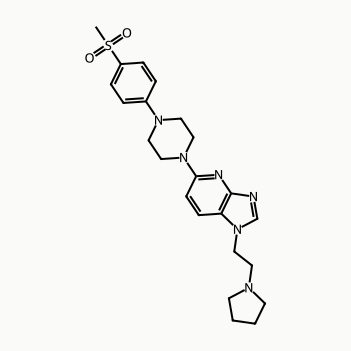 CS(=O)(=O)c1ccc(N2CCN(c3ccc4c(ncn4CCN4CCCC4)n3)CC2)cc1